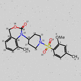 COc1cc(C)ccc1S(=O)(=O)N1CCC(N2C(=O)OCc3cccc(C)c32)CC1